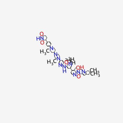 [2H]C([2H])([2H])n1cc(-c2ccnc(N3CCn4c(cc5c4CC(C)(C)C5)C3=O)c2CO)cc(Nc2ccc(N3CCN([C@H]4CCN(c5ccc(C6CCC(=O)NC6=O)cc5)[C@@H](C)C4)C[C@@H]3C)cn2)c1=O